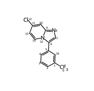 FC(F)(F)c1cccc(-c2cnc3cc(Cl)ccn23)c1